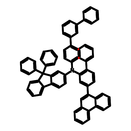 c1ccc(-c2cccc(-c3ccc(N(c4ccc5c(c4)C(c4ccccc4)(c4ccccc4)c4ccccc4-5)c4cc(-c5cc6ccccc6c6ccccc56)ccc4-c4ccccc4)cc3)c2)cc1